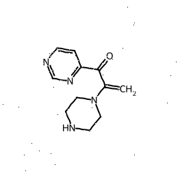 C=C(C(=O)c1ccncn1)N1CCNCC1